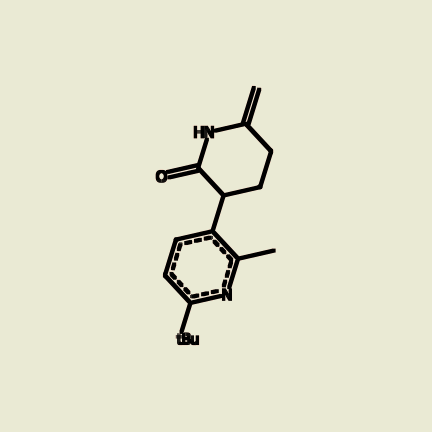 C=C1CCC(c2ccc(C(C)(C)C)nc2C)C(=O)N1